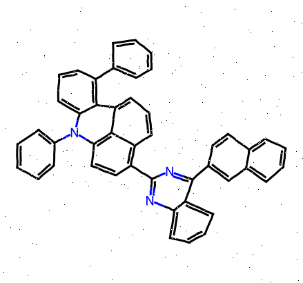 c1ccc(-c2cccc3c2-c2cccc4c(-c5nc(-c6ccc7ccccc7c6)c6ccccc6n5)ccc(c24)N3c2ccccc2)cc1